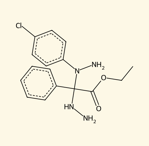 CCOC(=O)C(NN)(c1ccccc1)N(N)c1ccc(Cl)cc1